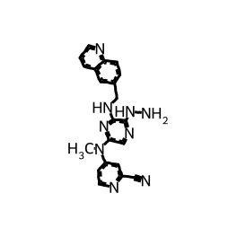 CN(c1ccnc(C#N)c1)c1cnc(NN)c(NCc2ccc3ncccc3c2)n1